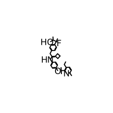 CCc1ccc(C)nc1C(C)(C)Oc1ccc(NC(Cc2ccc(C(C)(F)C(C)O)cc2)=C2CCC2)cc1